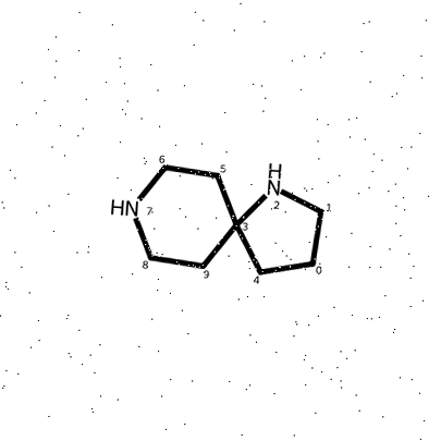 C1CNC2(C1)CCNCC2